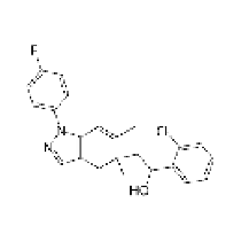 CC1=Cc2c(cnn2-c2ccc(F)cc2)CC1(C)CC(O)c1ccccc1Cl